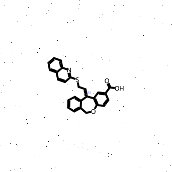 O=C(O)c1ccc2c(c1)/C(=C/CSc1ccc3ccccc3n1)c1ccccc1CO2